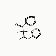 CN(Cc1ccccc1)C(C)(C)C(=O)c1ccccc1